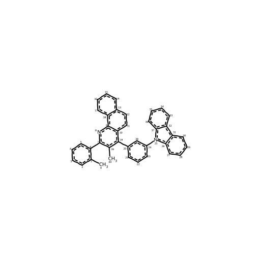 Cc1ccccc1-c1nc2c(ccc3ccccc32)c(-c2cccc(-n3c4ccccc4c4ccccc43)c2)c1C